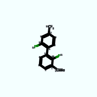 COc1cc[c]c(-c2ccc(C(F)(F)F)cc2F)c1F